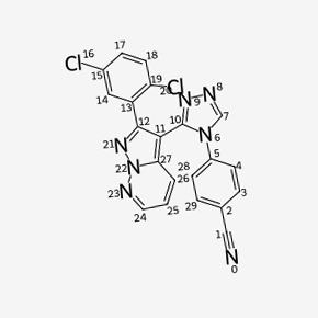 N#Cc1ccc(-n2cnnc2-c2c(-c3cc(Cl)ccc3Cl)nn3ncccc23)cc1